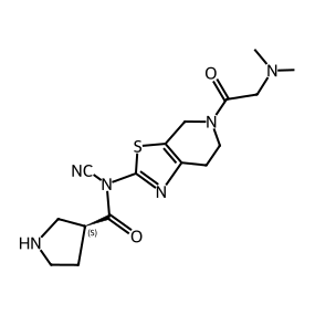 CN(C)CC(=O)N1CCc2nc(N(C#N)C(=O)[C@H]3CCNC3)sc2C1